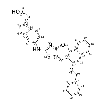 O=C(O)Cn1ccc2cc(NC3=NC(=O)/C(=C\c4cc5ccccc5cc4OCc4ccccc4)S3)ccc21